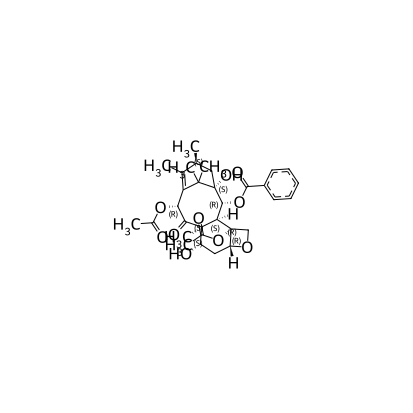 CC(=O)O[C@H]1C(=O)[C@]2(C)[C@@H](O)C[C@H]3OC[C@]3(OC(C)=O)[C@@H]2[C@@H](OC(=O)c2ccccc2)[C@]2(O)C[C@H](C)C(C)=C1C2(C)C